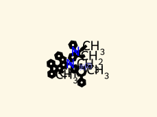 C=Cc1c(C#CC)n(-c2ccccc2)c2ccc(N(c3ccc4c(c3)/C(C)=C(/C=C\C)CCC(c3ccccc3)C4)c3cc4c(c5c3Cc3ccccc3-5)-c3c(c5ccccc5c5ccccc35)C4(C)C)cc12